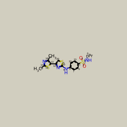 CCCNS(=O)(=O)c1ccc(Nc2nc(-c3sc(C)nc3C)cs2)cc1